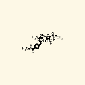 CCNC(=O)C1CCC(Cc2nc(N)c3ncn([C@@H]4O[C@H](C(=O)NCC)C(O)C4O)c3n2)CC1